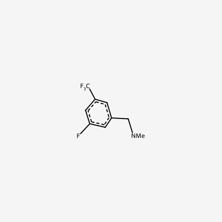 [CH2-][NH2+]Cc1cc(F)cc(C(F)(F)F)c1